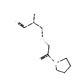 CC(C=N)CNCC(=O)N1CCCC1